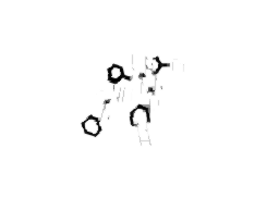 CC(C)c1cnn2c(NCc3ccccc3NC(=O)NC3CCCCC3)nc(O[C@@H]3CCCNC3)nc12